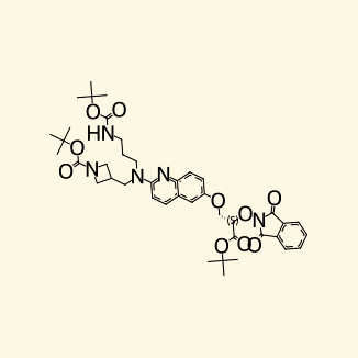 CC(C)(C)OC(=O)NCCCN(CC1CN(C(=O)OC(C)(C)C)C1)c1ccc2cc(OC[C@H](ON3C(=O)c4ccccc4C3=O)C(=O)OC(C)(C)C)ccc2n1